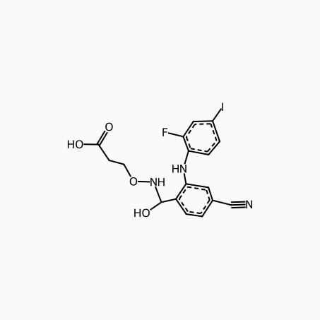 N#Cc1ccc(C(O)NOCCC(=O)O)c(Nc2ccc(I)cc2F)c1